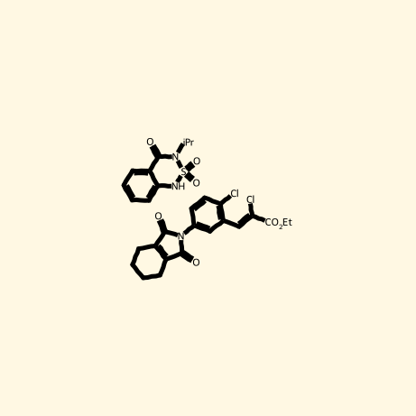 CC(C)N1C(=O)c2ccccc2NS1(=O)=O.CCOC(=O)/C(Cl)=C/c1cc(N2C(=O)C3=C(CCCC3)C2=O)ccc1Cl